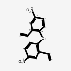 C=Cc1cc([N+](=O)[O-])ccc1Oc1ccc([N+](=O)[O-])cc1C=C